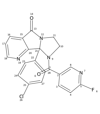 O=C(c1ccc(F)nc1)N1CCN2C(=O)c3cccnc3C12c1ccc(Cl)cc1